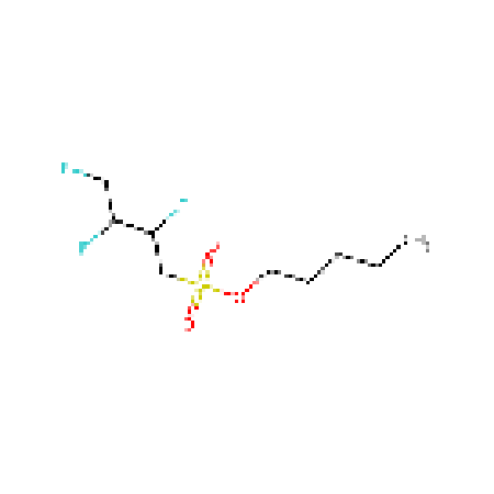 CCCCCOS(=O)(=O)CC(F)C(F)CF